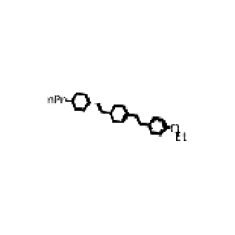 CCC[C@H]1CC[C@H](CCC2CC=C(CCc3ccc(OCC)cc3)CC2)CC1